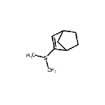 C[Si](C)C1=CC2CCC1C2